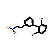 CN(C)CCc1cccc(-c2c(C(F)(F)F)cccc2C(F)(F)F)c1